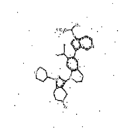 CC(=O)N1CCc2c(c(N3CCCc4cc(-c5cn(C(C(=O)O)C(C)(C)C)c6ccncc56)c(C(F)F)cc43)nn2C2CCOCC2)C1